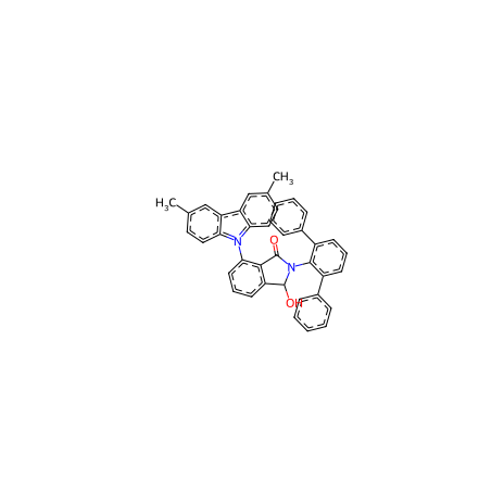 Cc1ccc2c(c1)c1cc(C)ccc1n2-c1cccc2c1C(=O)N(c1c(-c3ccccc3)cccc1-c1ccccc1)C2O